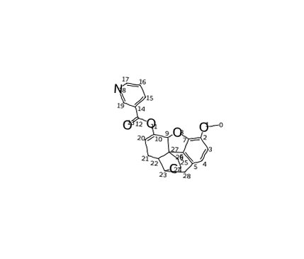 COc1ccc2c3c1OC1C(OC(=O)c4cccnc4)=CCC4C(CCCC314)C2